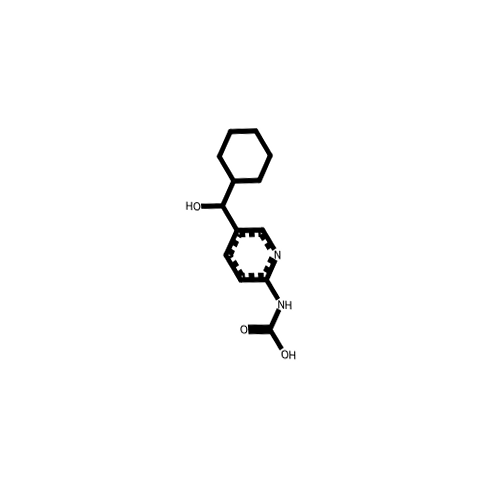 O=C(O)Nc1ccc(C(O)C2CCCCC2)cn1